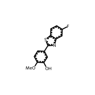 COc1ccc(-c2nc3cc(F)ccc3s2)cc1O